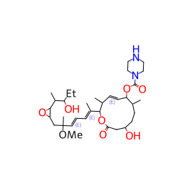 CCC(O)C(C)C1OC1CC(C)(/C=C/C=C(\C)C1OC(=O)CC(O)CCC(C)C(OC(=O)N2CCNCC2)/C=C/C1C)OC